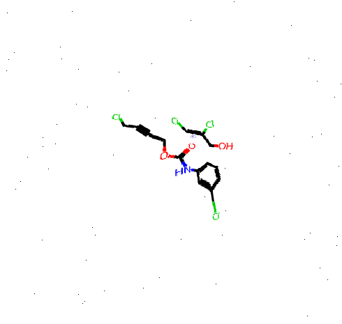 O=C(Nc1cccc(Cl)c1)OCC#CCCl.OC/C(Cl)=C/Cl